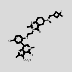 Cc1sc2c(-c3cc(Cl)ccc3OCCn3c(C)nc4c(c3=O)C[C@H](N(C)CC3CC(F)(F)C3)CC4)cn(C)c(=O)c2c1C(=O)O